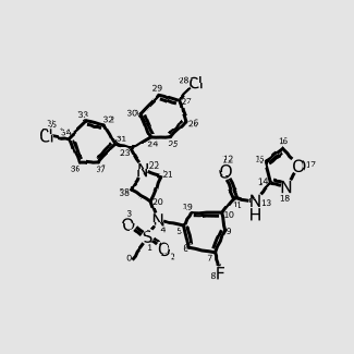 CS(=O)(=O)N(c1cc(F)cc(C(=O)Nc2ccon2)c1)C1CN(C(c2ccc(Cl)cc2)c2ccc(Cl)cc2)C1